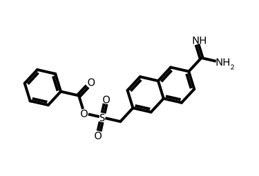 N=C(N)c1ccc2cc(CS(=O)(=O)OC(=O)c3ccccc3)ccc2c1